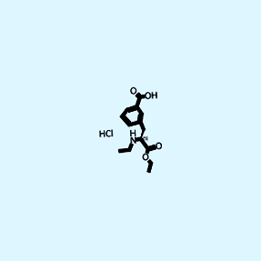 CCN[C@@H](Cc1cccc(C(=O)O)c1)C(=O)OCC.Cl